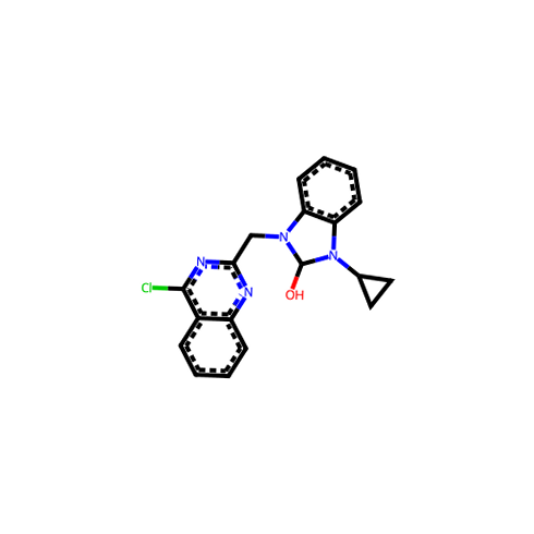 OC1N(Cc2nc(Cl)c3ccccc3n2)c2ccccc2N1C1CC1